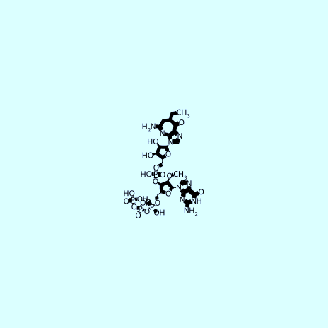 CCC1CC(N)=Nc2c(ncn2[C@@H]2O[C@H](COP(=O)(O)O[C@H]3[C@@H](OC)[C@H](n4cnc5c(=O)[nH]c(N)nc54)O[C@@H]3COP(=O)(O)OP(=O)(O)OP(=O)(O)O)[C@@H](O)[C@H]2O)C1=O